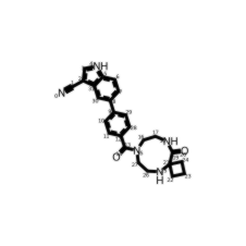 N#Cc1c[nH]c2ccc(-c3ccc(C(=O)N4CCNC(=O)C5(CCC5)NCC4)cc3)cc12